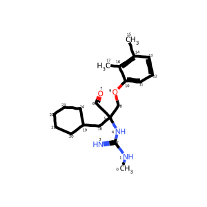 CNC(=N)NC(C=O)(COc1cccc(C)c1C)CC1CCCCC1